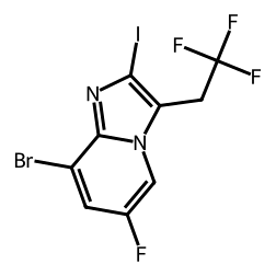 Fc1cc(Br)c2nc(I)c(CC(F)(F)F)n2c1